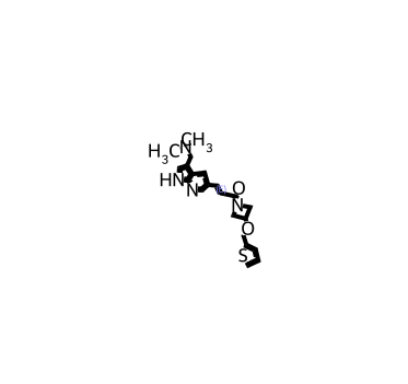 CN(C)Cc1c[nH]c2ncc(/C=C/C(=O)N3CC(OCc4cccs4)C3)cc12